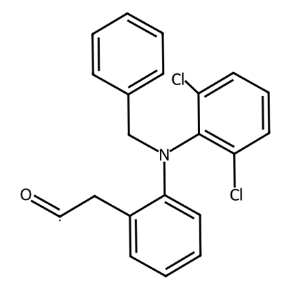 O=[C]Cc1ccccc1N(Cc1ccccc1)c1c(Cl)cccc1Cl